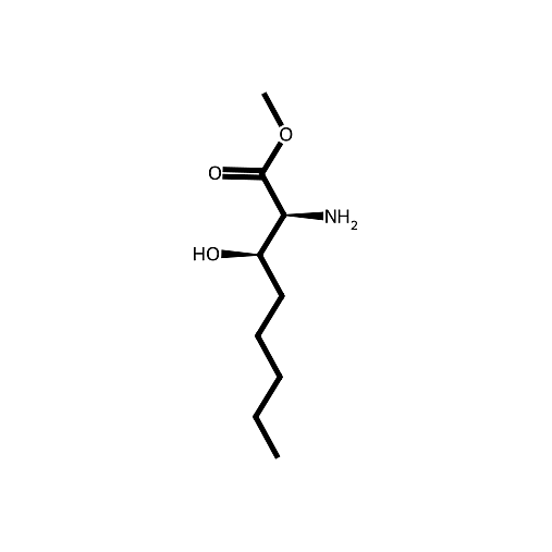 CCCCC[C@@H](O)[C@H](N)C(=O)OC